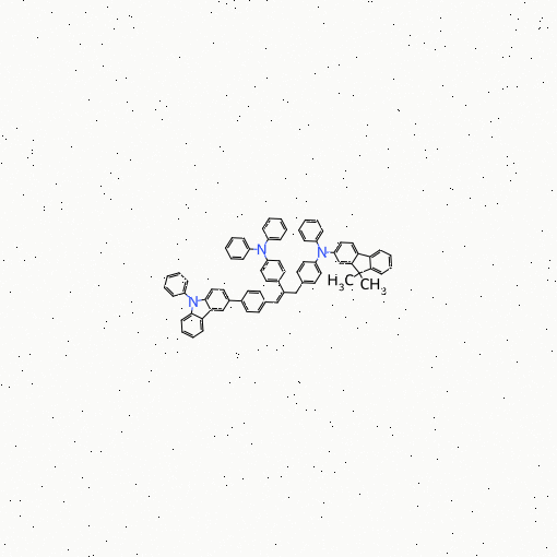 CC1(C)c2ccccc2-c2ccc(N(c3ccccc3)c3ccc(C/C(=C/c4ccc(-c5ccc6c(c5)c5ccccc5n6-c5ccccc5)cc4)c4ccc(N(c5ccccc5)c5ccccc5)cc4)cc3)cc21